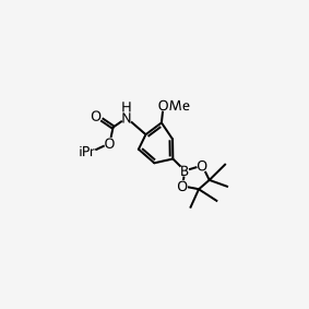 COc1cc(B2OC(C)(C)C(C)(C)O2)ccc1NC(=O)OC(C)C